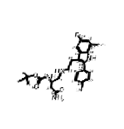 CC(C)(C)OC(=O)NC(CNCCc1c(-c2ccc(F)cc2)[nH]c2c(F)cc(F)cc12)CC(N)=O